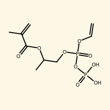 C=COP(=O)(OCC(C)OC(=O)C(=C)C)OP(=O)(O)O